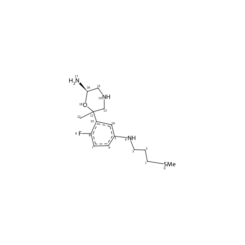 CSCCCNc1ccc(F)c(C2(C)CNC[C@H](N)O2)c1